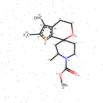 CC1CC2(CCN1C(=O)OC(C)(C)C)OCCc1c2sc(C(F)(F)F)c1C=O